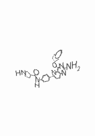 Nc1nc(OC2CCOC2)c2nc(-c3ccc(NC(=O)C4CCNC4)cc3)ccc2n1